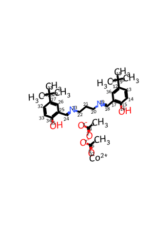 CC(=O)[O-].CC(=O)[O-].CC(C)(C)c1ccc(O)c(C=NCCCN=Cc2cc(C(C)(C)C)ccc2O)c1.[Co+2]